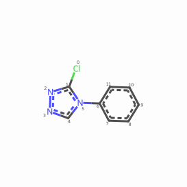 Clc1nncn1-c1ccccc1